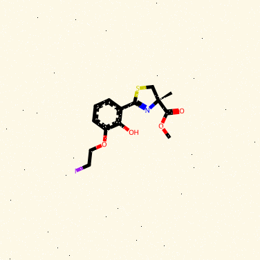 COC(=O)[C@@]1(C)CSC(c2cccc(OCCI)c2O)=N1